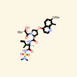 C=CC(C)[C@@](C)(NC(=O)[C@@H]1C[C@@H](Oc2ccnc3c(C)c(OC)ccc23)CN1C(=O)[C@@H](O)C(C)(C)C)C(=O)NS(=O)(=O)N(C)C